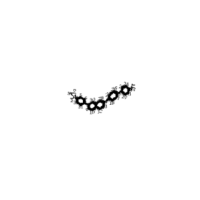 C[Si](C)(C)c1ccc(-c2ccc3ccc(-c4ccc(-c5ccc(F)cc5)cc4)cc3c2)cc1